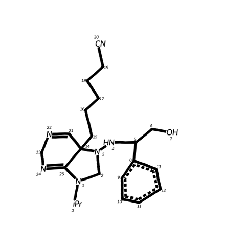 CC(C)N1CN(NC(CO)c2ccccc2)C2(CCCCCC#N)C=NCN=C12